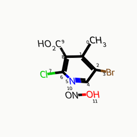 Cc1c(Br)cnc(Cl)c1C(=O)O.O=NO